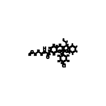 CC[C@@H](c1ccccc1)N(Cc1ccc(C(=O)NCCCOC)cc1)S(=O)(=O)c1ccc(Cl)cc1